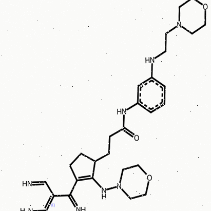 N=C/C(=C\N)C(=N)C1=C(NN2CCOCC2)C(CCC(=O)Nc2cccc(NCCN3CCOCC3)c2)CC1